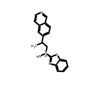 CC(C[SH](S)c1nc2ccccc2s1)c1ccc2cnccc2c1